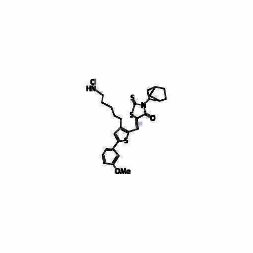 COc1cccc(-c2cc(CCCCCNCl)c(/C=C3\SC(=S)N(C4CC5CCC4C5)C3=O)s2)c1